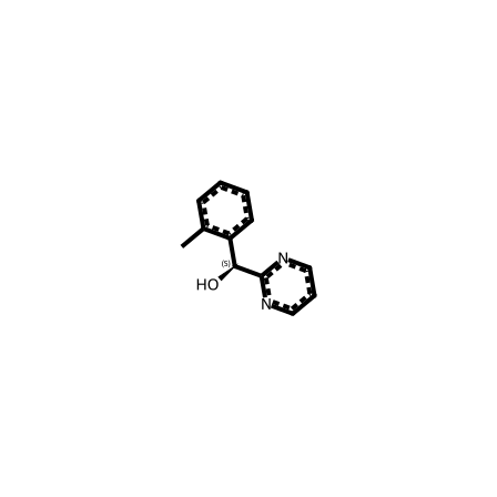 Cc1ccccc1[C@H](O)c1ncccn1